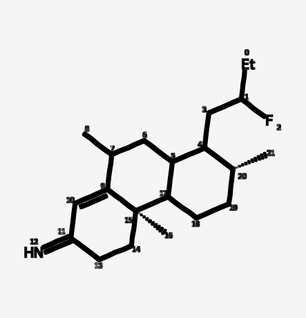 CCC(F)CC1C2CC(C)C3=CC(=N)CC[C@]3(C)C2CC[C@H]1C